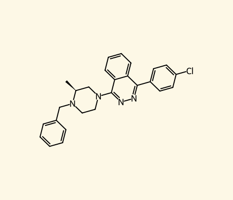 C[C@H]1CN(c2nnc(-c3ccc(Cl)cc3)c3ccccc23)CCN1Cc1ccccc1